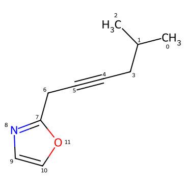 CC(C)CC#CCc1ncco1